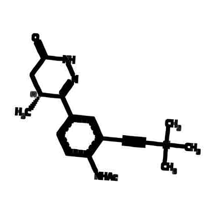 CC(=O)Nc1ccc(C2=NNC(=O)C[C@H]2C)cc1C#C[Si](C)(C)C